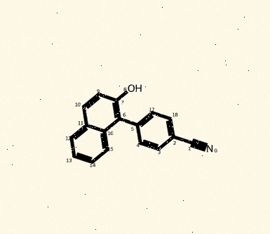 N#Cc1ccc(-c2c(O)ccc3ccccc23)cc1